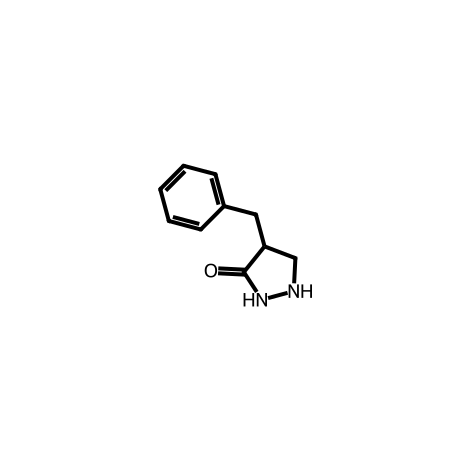 O=C1NNCC1Cc1ccccc1